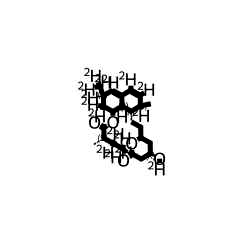 [2H]O[C@H]1CC(=O)OC(CC[C@@H]2[C@@H]3C(=C([2H])[C@]([2H])(C([2H])([2H])[2H])C([2H])([2H])C3OC(=O)[C@@H](C)C([2H])([2H])C([2H])([2H])[2H])C([2H])=C([2H])[C@]2([2H])C)C1